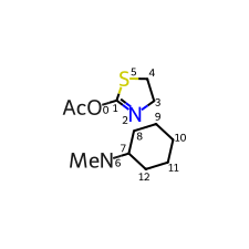 CC(=O)OC1=NCCS1.CNC1CCCCC1